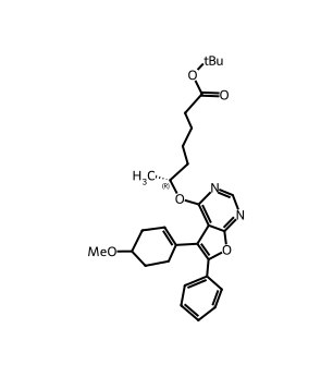 COC1CC=C(c2c(-c3ccccc3)oc3ncnc(O[C@H](C)CCCCC(=O)OC(C)(C)C)c23)CC1